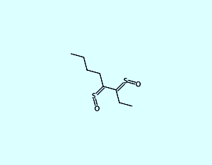 CCCCC(=S=O)C(CC)=S=O